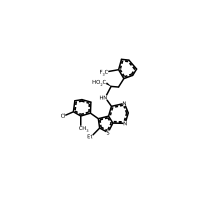 CCc1sc2ncnc(N[C@H](Cc3ccccc3C(F)(F)F)C(=O)O)c2c1-c1cccc(Cl)c1C